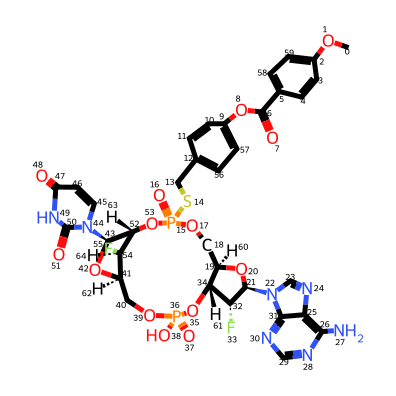 COc1ccc(C(=O)Oc2ccc(CSP3(=O)OC[C@H]4O[C@@H](n5cnc6c(N)ncnc65)[C@H](F)[C@@H]4OP(=O)(O)OC[C@H]4O[C@@H](n5ccc(=O)[nH]c5=O)[C@H](O3)[C@@H]4F)cc2)cc1